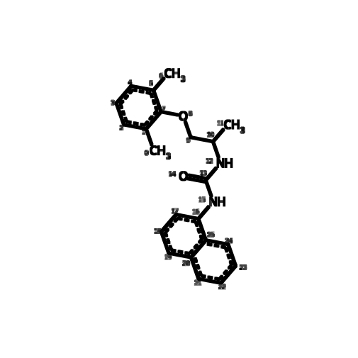 Cc1cccc(C)c1OCC(C)NC(=O)Nc1cccc2ccccc12